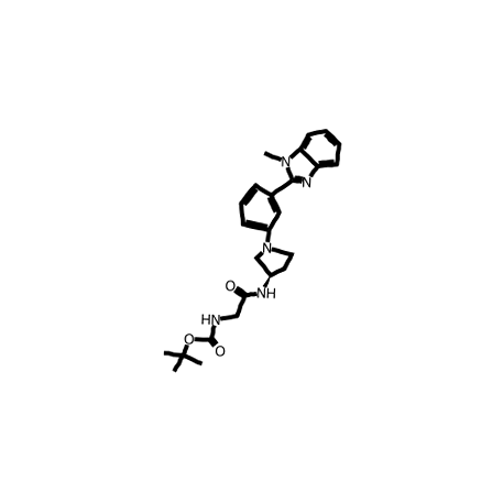 Cn1c(-c2cccc(N3CC[C@@H](NC(=O)CNC(=O)OC(C)(C)C)C3)c2)nc2ccccc21